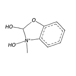 C[N+]1(O)c2ccccc2OC1O